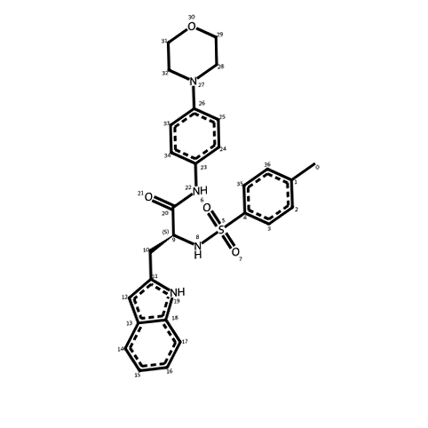 Cc1ccc(S(=O)(=O)N[C@@H](Cc2cc3ccccc3[nH]2)C(=O)Nc2ccc(N3CCOCC3)cc2)cc1